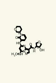 CNc1cc(Nc2cccn([C@@H]3CCCOC3)c2=O)nc2c(C(=O)NC3COC[C@@H]3O)cnn12